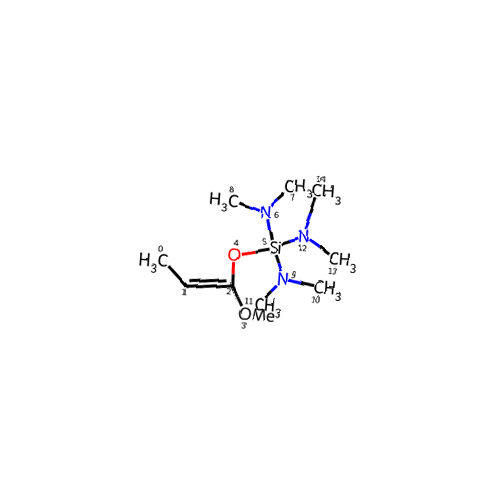 CC=C(OC)O[Si](N(C)C)(N(C)C)N(C)C